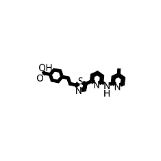 Cc1ccnc(Nc2cccc(-c3cnc(CCC4CCC(C(=O)O)CC4)s3)n2)c1